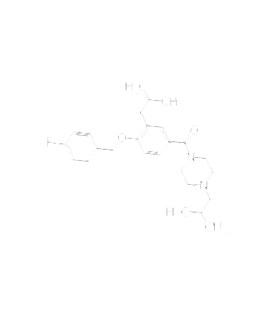 CC(C)Cc1cc(C(=O)N2CCN(CC(C)C)CC2)ccc1OCc1ccc(F)cc1